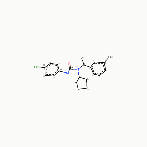 CC(c1cccc(C#N)c1)N(C(=O)Nc1ccc(Cl)cc1)C1CCCC1